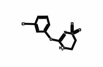 O=S1(=O)CC[SH2]C(Oc2cccc(Cl)c2)=N1